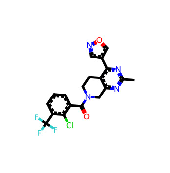 Cc1nc2c(c(-c3cnoc3)n1)CCN(C(=O)c1cccc(C(F)(F)F)c1Cl)C2